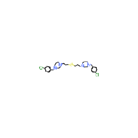 Clc1ccc(CN2CCCN(CCCSSCCCN3CCCN(Cc4ccc(Cl)cc4)CC3)CC2)cc1